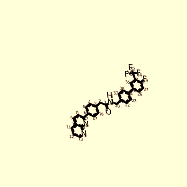 O=C(Cc1ccc(-c2ccc3cccnc3n2)cc1)NCc1ccc(-c2ccc(F)c(C(F)(F)F)c2)cc1